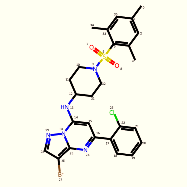 Cc1cc(C)c(S(=O)(=O)N2CCC(Nc3cc(-c4ccccc4Cl)nc4c(Br)cnn34)CC2)c(C)c1